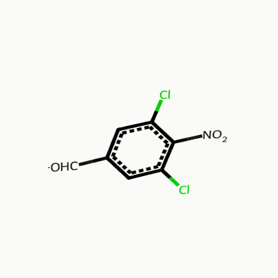 O=[C]c1cc(Cl)c([N+](=O)[O-])c(Cl)c1